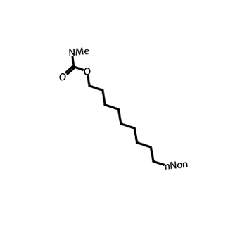 CCCCCCCCCCCCCCCCCCOC(=O)NC